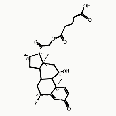 C[C@@H]1CC2C3C[C@H](F)C4=CC(=O)C=C[C@]4(C)C3[C@@H](O)C[C@]2(C)[C@H]1C(=O)COC(=O)CCCC(=O)O